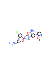 CCOc1ncccc1-c1ccc(N2CCN(C(=O)c3ccc(F)cc3N3CCC(CN)C3)C[C@H]2CC)c(C(N)=O)c1